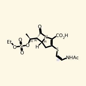 CCOS(=O)(=O)O[C@@H](C)[C@@H]1C(=O)N2C(C(=O)O)=C(S/C=C\NC(C)=O)C[C@H]12